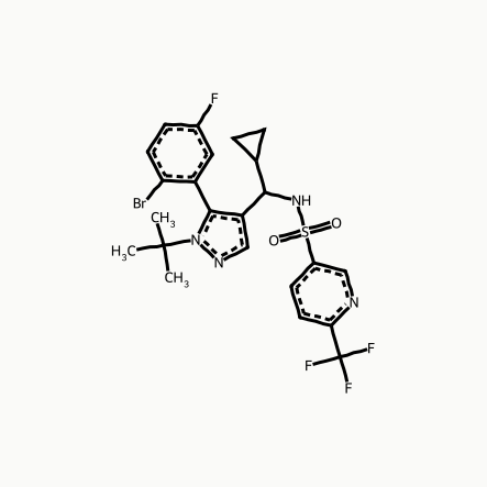 CC(C)(C)n1ncc(C(NS(=O)(=O)c2ccc(C(F)(F)F)nc2)C2CC2)c1-c1cc(F)ccc1Br